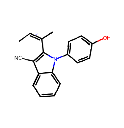 C/C=C(/C)c1c(C#N)c2ccccc2n1-c1ccc(O)cc1